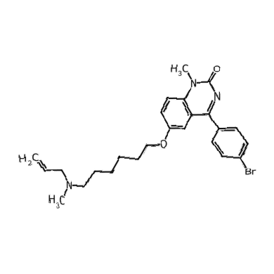 C=CCN(C)CCCCCCOc1ccc2c(c1)c(-c1ccc(Br)cc1)nc(=O)n2C